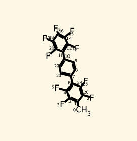 Cc1c(F)c(F)c(-c2ccc(-c3c(F)c(F)c(F)c(F)c3F)cc2)c(F)c1F